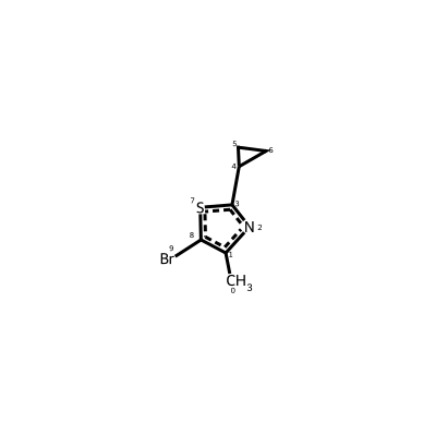 Cc1nc(C2CC2)sc1Br